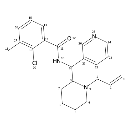 C=CCN1CCCCC1C(NC(=O)c1cccc(C)c1Cl)c1cccnc1